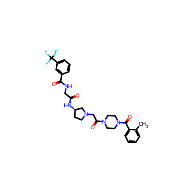 Cc1ccccc1C(=O)N1CCN(C(=O)CN2CC[C@@H](NC(=O)CNC(=O)c3cccc(C(F)(F)F)c3)C2)CC1